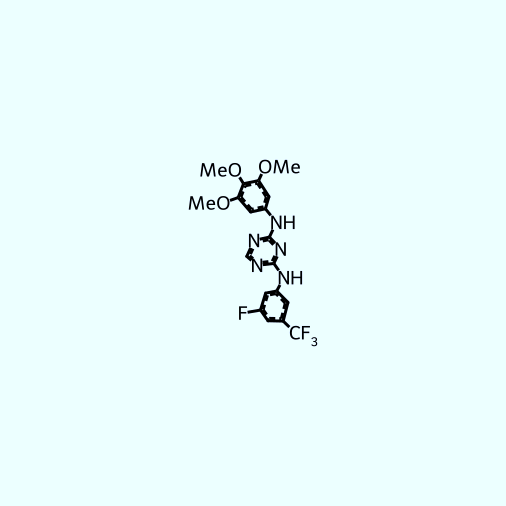 COc1cc(Nc2ncnc(Nc3cc(F)cc(C(F)(F)F)c3)n2)cc(OC)c1OC